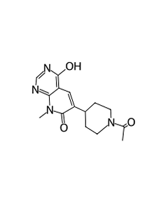 CC(=O)N1CCC(c2cc3c(O)ncnc3n(C)c2=O)CC1